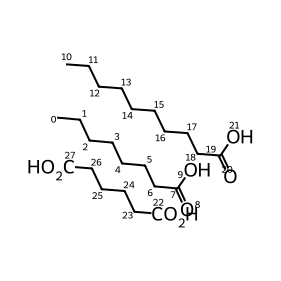 CCCCCCCC(=O)O.CCCCCCCCCC(=O)O.O=C(O)CCCCC(=O)O